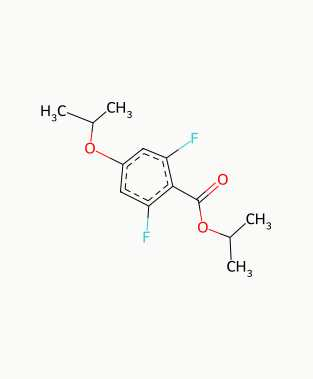 CC(C)OC(=O)c1c(F)cc(OC(C)C)cc1F